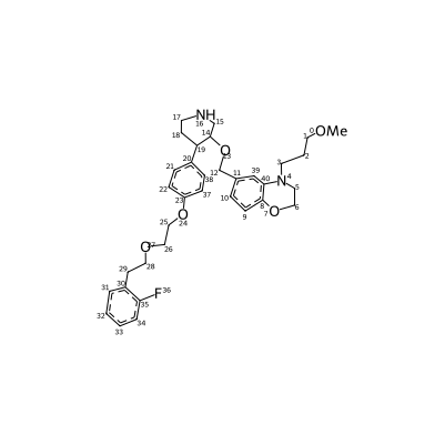 COCCCN1CCOc2ccc(COC3CNCCC3c3ccc(OCCOCCc4ccccc4F)cc3)cc21